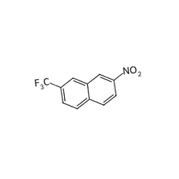 O=[N+]([O-])c1ccc2ccc(C(F)(F)F)cc2c1